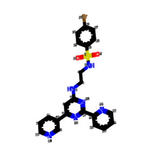 O=S(=O)(NCCNc1cc(-c2cccnc2)nc(-c2ccccn2)n1)c1ccc(Br)cc1